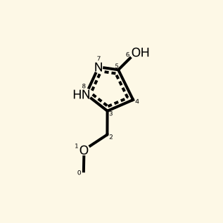 COCc1cc(O)n[nH]1